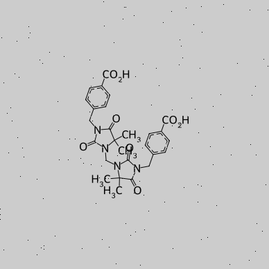 CC1(C)C(=O)N(Cc2ccc(C(=O)O)cc2)C(=O)N1CN1C(=O)N(Cc2ccc(C(=O)O)cc2)C(=O)C1(C)C